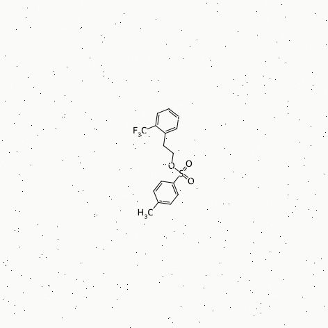 Cc1ccc(S(=O)(=O)OCCc2ccccc2C(F)(F)F)cc1